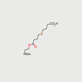 CCCCCCCCCCCOC(=O)CCCSCCCC(=O)O